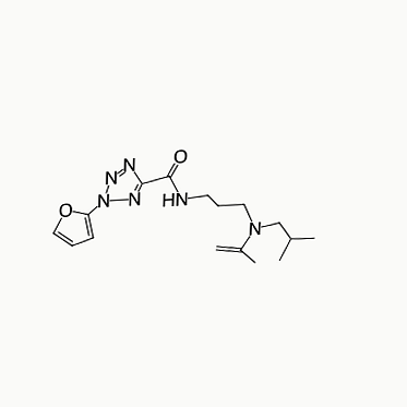 C=C(C)N(CCCNC(=O)c1nnn(-c2ccco2)n1)CC(C)C